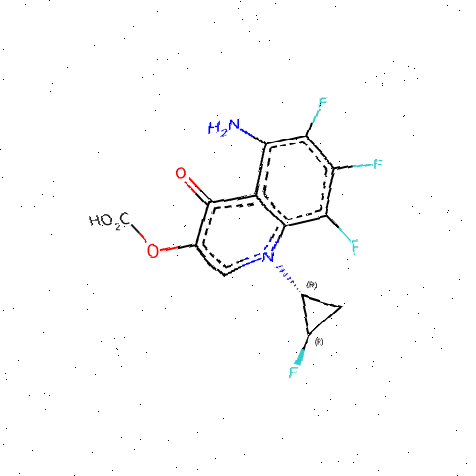 Nc1c(F)c(F)c(F)c2c1c(=O)c(OC(=O)O)cn2[C@@H]1C[C@H]1F